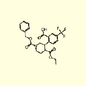 CCOC(=O)C1CCN(C(=O)OCc2ccccc2)CC1c1ccc(C(F)(F)F)cc1C(=O)O